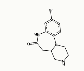 O=C1CC2CNCCN2c2ccc(Br)cc2N1